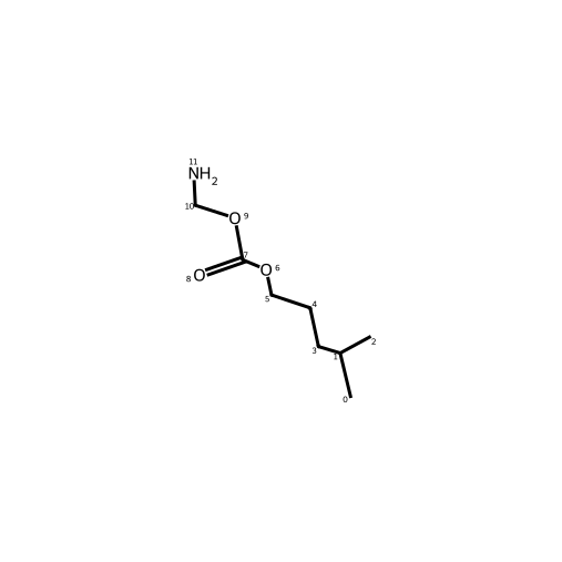 CC(C)CCCOC(=O)OCN